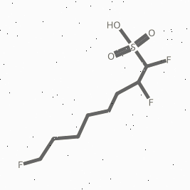 O=S(=O)(O)C(F)C(F)CCCCCCF